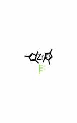 CC1=C[C](C)([Zr+2][C]2(C)C=C(C)C=C2C)C(C)=C1.[F-].[F-]